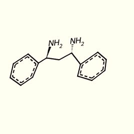 N[C@@H](C[C@H](N)c1ccccc1)c1ccccc1